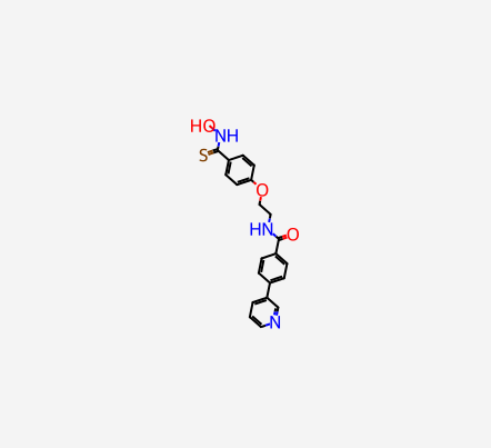 O=C(NCCOc1ccc(C(=S)NO)cc1)c1ccc(-c2cccnc2)cc1